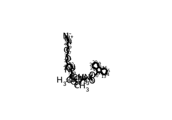 C[Si](C)(CCCNC(=O)OCC1c2ccccc2-c2ccccc21)O[Si](C)(C)CSc1ncc(COCCOCCN=[N+]=[N-])cn1